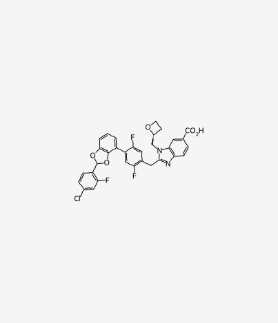 O=C(O)c1ccc2nc(Cc3cc(F)c(-c4cccc5c4OC(c4ccc(Cl)cc4F)O5)cc3F)n(C[C@@H]3CCO3)c2c1